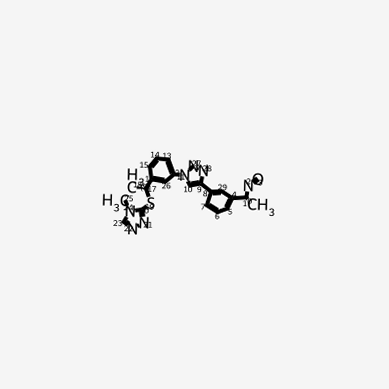 CC(N=O)c1cccc(-c2cn(-c3cccc([C@H](C)Sc4nncn4C)c3)nn2)c1